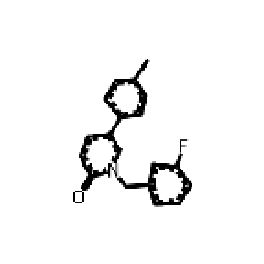 Cc1ccc(-c2ccc(=O)n(Cc3cccc(F)c3)c2)cc1